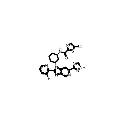 O=C(N[C@H]1CCC[C@@H](n2c(-c3ncccc3F)nc3cnc(-c4nc[nH]n4)cc32)C1)c1ncc(Cl)s1